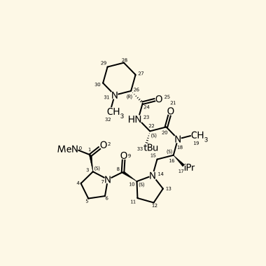 CNC(=O)[C@@H]1CCCN1C(=O)[C@@H]1CCCN1C[C@H](C(C)C)N(C)C(=O)[C@@H](NC(=O)[C@H]1CCCCN1C)C(C)(C)C